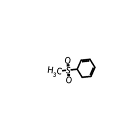 CS(=O)(=O)C1C=CC=CC1